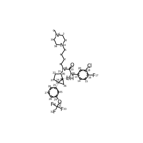 CN1CCN(CCCCN(C(=O)Nc2ccc(F)c(Cl)c2)[C@@H]2CC[C@]3(c4cccc(OC(F)(F)F)c4)C[C@H]23)CC1